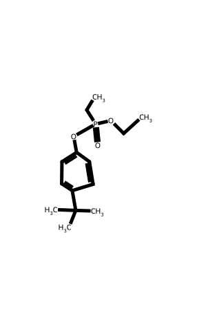 CCOP(=O)(CC)Oc1ccc(C(C)(C)C)cc1